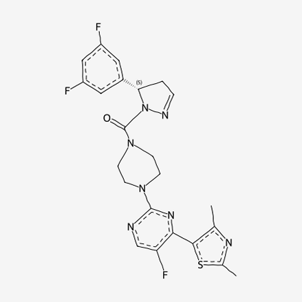 Cc1nc(C)c(-c2nc(N3CCN(C(=O)N4N=CC[C@H]4c4cc(F)cc(F)c4)CC3)ncc2F)s1